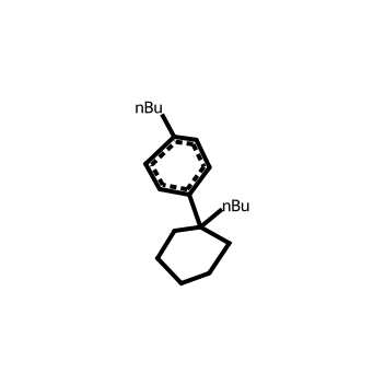 CCCCc1ccc(C2(CCCC)CCCCC2)cc1